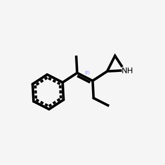 CC/C(=C(/C)c1ccccc1)C1CN1